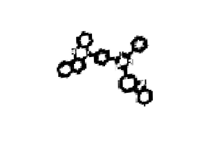 C1=Cc2c(ccc3c2OC2CCCCC2N3c2ccc(-c3nc(C4=Cc5oc6c(c5CC=C4)CCC=C6)nc(-c4ccccc4)n3)cc2)CC1